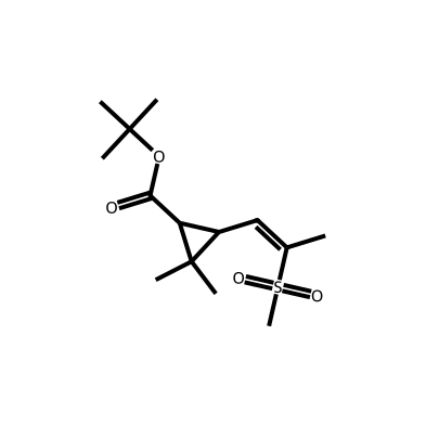 CC(=CC1C(C(=O)OC(C)(C)C)C1(C)C)S(C)(=O)=O